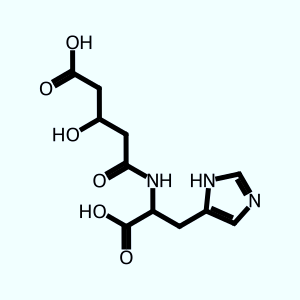 O=C(O)CC(O)CC(=O)NC(Cc1cnc[nH]1)C(=O)O